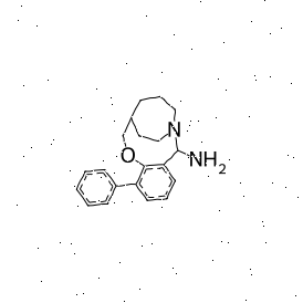 NC1c2cccc(-c3ccccc3)c2OCC2CCCN1CC2